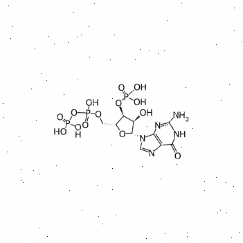 Nc1nc2c(ncn2[C@@H]2O[C@H](COP(=O)(O)OP(=O)(O)O)[C@@H](OP(=O)(O)O)[C@H]2O)c(=O)[nH]1